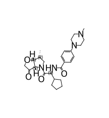 C[C@@H]1CN(C(=O)[C@@H](NC(=O)c2ccc(N3CCN(C)CC3)cc2)C2CCCC2)[C@@H]2C(=O)CO[C@H]12